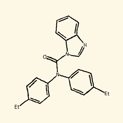 CCc1ccc(N(C(=O)n2cnc3ccccc32)c2ccc(CC)cc2)cc1